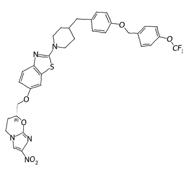 O=[N+]([O-])c1cn2c(n1)O[C@@H](COc1ccc3nc(N4CCC(Cc5ccc(OCc6ccc(OC(F)(F)F)cc6)cc5)CC4)sc3c1)CC2